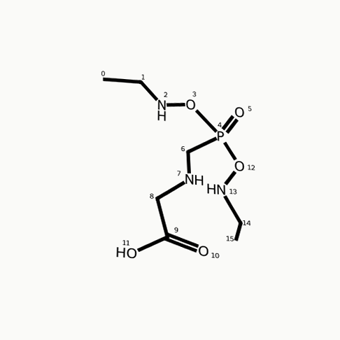 CCNOP(=O)(CNCC(=O)O)ONCC